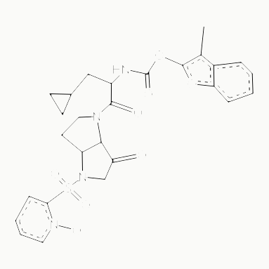 Cc1c(OC(=O)NC(CC2CC2)C(=O)N2CCC3C2C(=O)CN3S(=O)(=O)c2cccc[n+]2[O-])oc2ccccc12